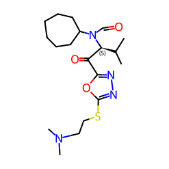 CC(C)[C@@H](C(=O)c1nnc(SCCN(C)C)o1)N(C=O)C1CCCCCC1